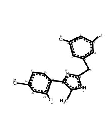 Cc1[nH]c(Cc2cc(Cl)cc(Cl)c2)nc1-c1ccc(Cl)cc1Cl